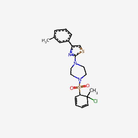 Cc1cccc(-c2csc(N3CCN(S(=O)(=O)C4C=CC=CC4(C)Cl)CC3)n2)c1